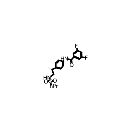 CCCS(=O)(=O)NC[C@H](C)c1ccc(NC(=O)c2cc(F)cc(F)c2)cc1